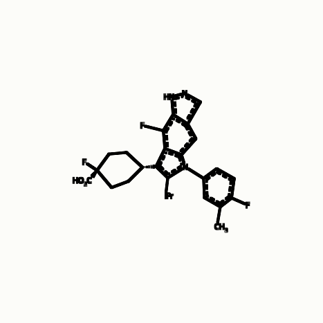 Cc1cc(-n2c(C(C)C)c([C@H]3CC[C@](F)(C(=O)O)CC3)c3c(F)c4[nH]ncc4cc32)ccc1F